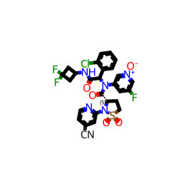 N#Cc1ccnc(N2[C@H](C(=O)N(c3cc(F)c[n+]([O-])c3)C(C(=O)NC3CC(F)(F)C3)c3ccccc3Cl)CCS2(=O)=O)c1